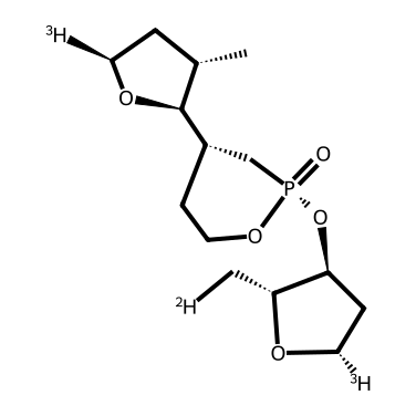 [2H]C[C@H]1O[C@@H]([3H])C[C@@H]1O[P@@]1(=O)C[C@@H]([C@H]2O[C@@H]([3H])C[C@@H]2C)CCO1